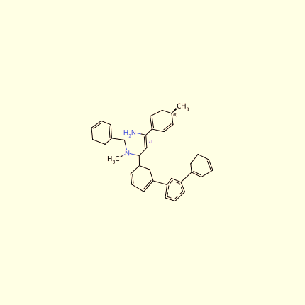 C[C@H]1C=CC(/C(N)=C/C(C2C=CC=C(c3cccc(C4=CC=CCC4)c3)C2)N(C)CC2=CC=CCC2)=CC1